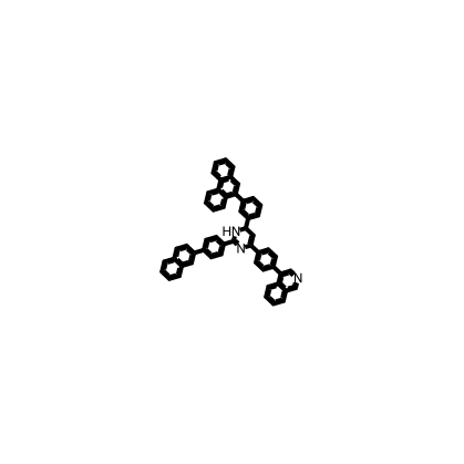 C1=C(c2ccc(-c3cncc4ccccc34)cc2)N=C(c2ccc(-c3ccc4ccccc4c3)cc2)NC1c1cccc(-c2cc3ccccc3c3ccccc23)c1